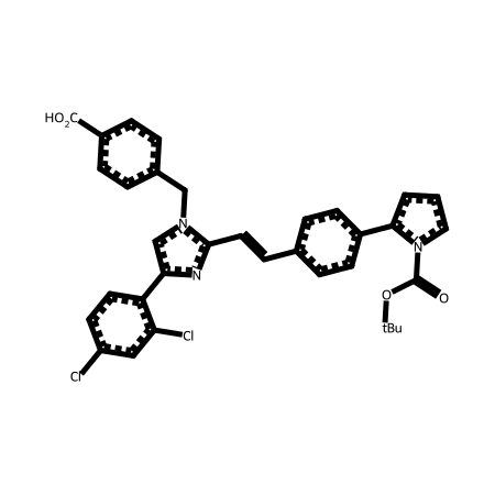 CC(C)(C)OC(=O)n1cccc1-c1ccc(C=Cc2nc(-c3ccc(Cl)cc3Cl)cn2Cc2ccc(C(=O)O)cc2)cc1